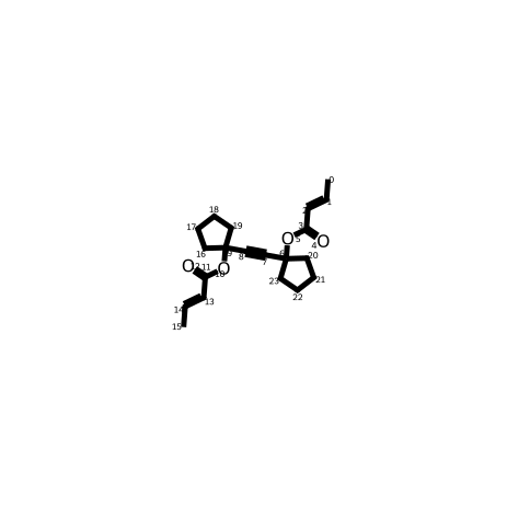 C/C=C/C(=O)OC1(C#CC2(OC(=O)/C=C/C)CCCC2)CCCC1